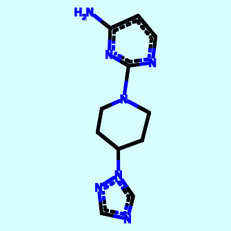 Nc1ccnc(N2CCC(n3cncn3)CC2)n1